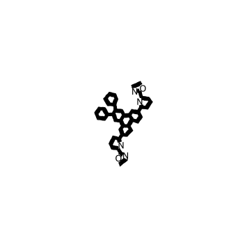 c1ccc(-c2cc3c4cc(-c5cccc(-c6ncco6)n5)ccc4c4ccc(-c5cccc(-c6ncco6)n5)cc4c3cc2-c2ccccc2)cc1